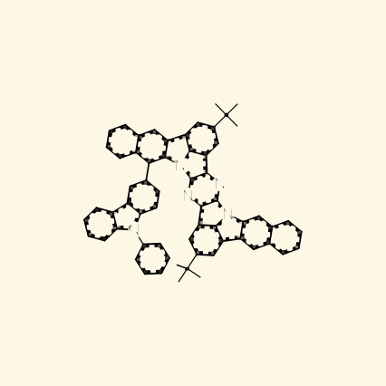 CC(C)(C)c1cc2c3cc4ccccc4cc3n3c4nc5c6cc(C(C)(C)C)cc7c8cc9ccccc9c(-c9ccc%10c(c9)c9ccccc9n%10-c9ccccc9)c8n(c5nc4c(c1)c23)c76